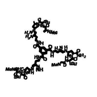 CNCC(=O)N[C@H](C(=O)N1C[C@@H](N/C=C(/CCNC(=O)c2cc(C(=O)NCC/C(N)=C/N[C@H]3C[C@@H](C(N)=O)N(C(=O)[C@@H](NC(=O)CNC)C(C)(C)C)C3)cc(C(=O)NCC/C(N)=C/N(N)[C@H]3C[C@@H](C)N(C(=O)C(NC(=O)[C@H](C)NC)C(C)(C)C)C3)c2)N=N)C[C@H]1C=O)C(C)(C)C